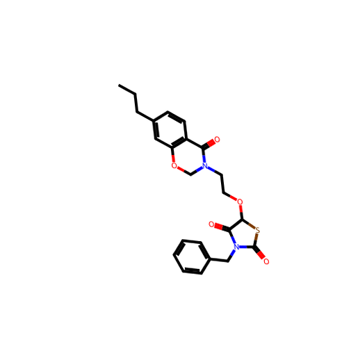 CCCc1ccc2c(c1)OCN(CCOC1SC(=O)N(Cc3ccccc3)C1=O)C2=O